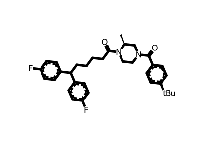 C[C@H]1CN(C(=O)c2ccc(C(C)(C)C)cc2)CCN1C(=O)CCCCC(c1ccc(F)cc1)c1ccc(F)cc1